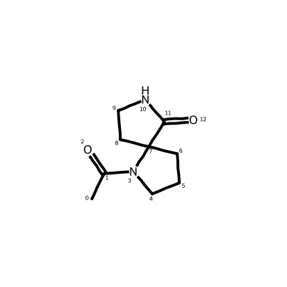 CC(=O)N1CCCC12CCNC2=O